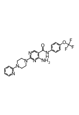 Nc1nc(N2CCN(c3ccccn3)CC2)ncc1C(=O)Nc1ccc(OC(F)(F)F)cc1